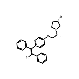 CC/C(=C(\c1ccccc1)c1ccc(OC[C@@H](C)N2CC[C@H](CC)C2)cc1)c1ccccc1